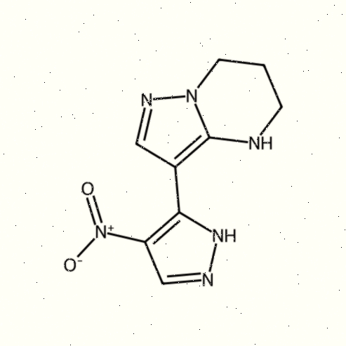 O=[N+]([O-])c1cn[nH]c1-c1cnn2c1NCCC2